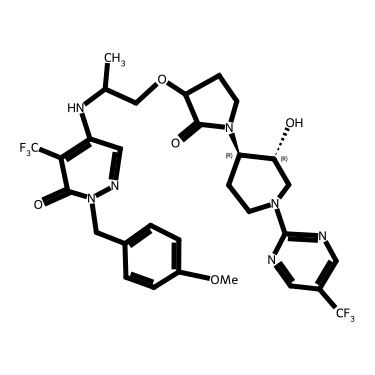 COc1ccc(Cn2ncc(NC(C)COC3CCN([C@@H]4CCN(c5ncc(C(F)(F)F)cn5)C[C@H]4O)C3=O)c(C(F)(F)F)c2=O)cc1